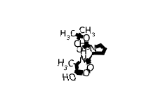 C[C@H](NC(=O)[C@@H]1CCCN1C(=O)OC(C)(C)C)C(=O)O